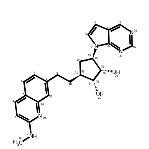 CNc1ccc2ccc(CC[C@H]3C[C@@H](n4ccc5cncnc54)[C@H](O)[C@@H]3O)cc2n1